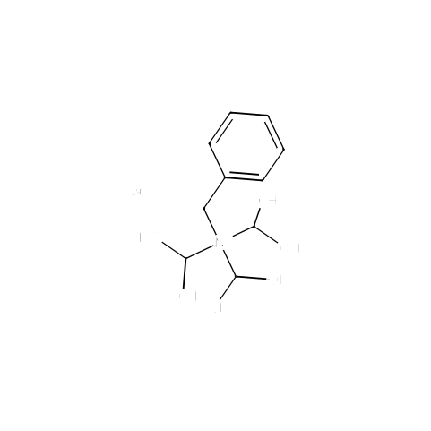 CC(O)[N+](Cc1ccccc1)(C(C)O)C(C)O.[Br-]